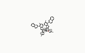 Cc1ccc(C2=Cc3c(ccc(C)c3-c3ccc4ccccc4c3)[CH]2[Zr]([Cl])([Cl])([CH]2C(c3ccc(C)o3)=Cc3c2ccc(C)c3-c2ccc3ccccc3c2)=[Si](C)C)o1